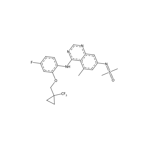 Cc1cc(N=S(C)(C)=O)cc2ncnc(Nc3ccc(F)cc3OCC3(C(F)(F)F)CC3)c12